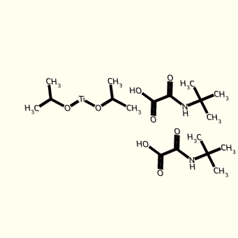 CC(C)(C)NC(=O)C(=O)O.CC(C)(C)NC(=O)C(=O)O.CC(C)[O][Ti][O]C(C)C